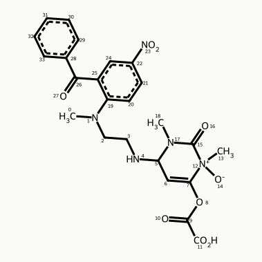 CN(CCNC1C=C(OC(=O)C(=O)O)[N+](C)([O-])C(=O)N1C)c1ccc([N+](=O)[O-])cc1C(=O)c1ccccc1